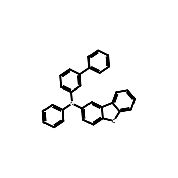 c1ccc(-c2cccc(N(c3ccccc3)c3ccc4oc5ccccc5c4c3)c2)cc1